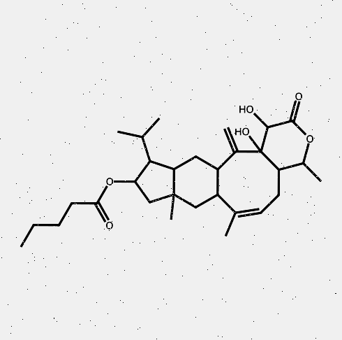 C=C1C2CC3C(C(C)C)C(OC(=O)CCCC)CC3(C)CC2/C(C)=C\CC2C(C)OC(=O)C(O)C12O